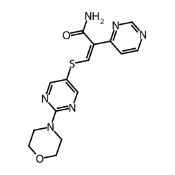 NC(=O)C(=CSc1cnc(N2CCOCC2)nc1)c1ccncn1